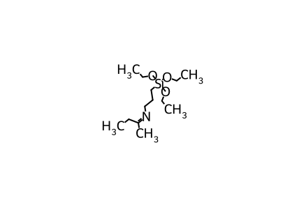 CCO[Si](CCCN=C(C)CC)(OCC)OCC